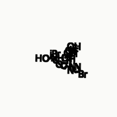 CC(C)[C@@H](CO)NCCOc1ccc(-c2nc3cc(Br)cnc3[nH]2)cc1.O=C(O)C(F)(F)F.O=C(O)C(F)(F)F